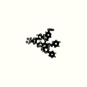 COc1ccc(CO[C@@H]2[C@H](OC(O)[C@@H]3OC(C)(C)O[C@H]3[C@@H]3COC(C)(C)O3)O[C@@H]3COC(c4ccccc4)O[C@H]3[C@@H]2OCc2ccccc2)cc1